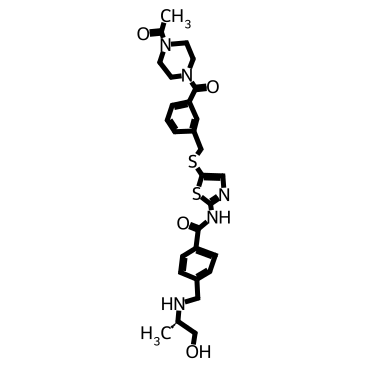 CC(=O)N1CCN(C(=O)c2cccc(CSc3cnc(NC(=O)c4ccc(CN[C@@H](C)CO)cc4)s3)c2)CC1